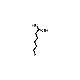 OC(O)CCCCCF